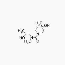 CC(O)CN(C)C(=O)N1CCC(C)(O)CC1